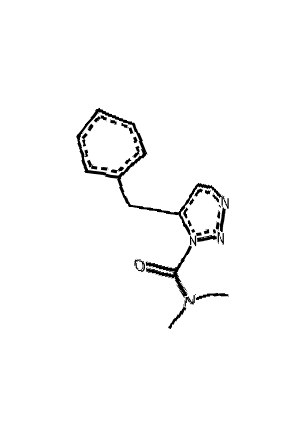 CN(C)C(=O)n1nncc1Cc1ccccc1